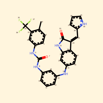 Cc1ccc(NC(=O)Nc2cccc(Nc3ccc4c(c3)NC(=O)/C4=C\c3ccc[nH]3)c2)cc1C(F)(F)F